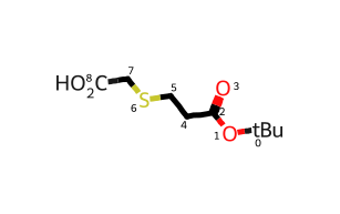 CC(C)(C)OC(=O)CCSCC(=O)O